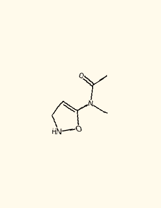 CC(=O)N(C)C1=CCNO1